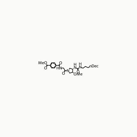 CCCCCCCCCCCCCNC(=O)N[C@H]1CN(C(=O)CNC(=O)c2ccc(C(=O)OC)cc2)C[C@@H]1OC